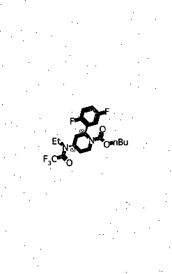 CCCCOC(=O)N1CC[C@H](N(CC)C(=O)C(F)(F)F)C[C@H]1c1cc(F)ccc1F